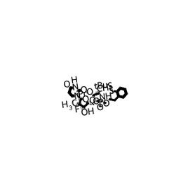 CC(C)OC(=O)[C@H](C)NP(=O)(OCCc1ccccc1SSC(C)(C)C)OC[C@H]1O[C@@H](n2ccc(=O)[nH]c2=O)[C@](C)(F)[C@@H]1O